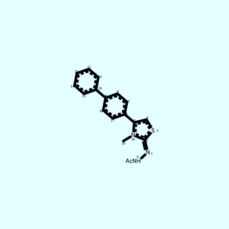 CC(=O)NN=c1scc(-c2ccc(-c3ccccc3)cc2)n1C